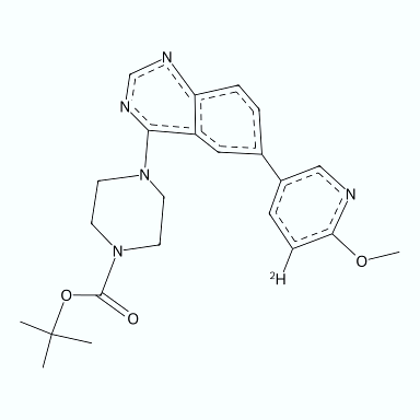 [2H]c1cc(-c2ccc3ncnc(N4CCN(C(=O)OC(C)(C)C)CC4)c3c2)cnc1OC